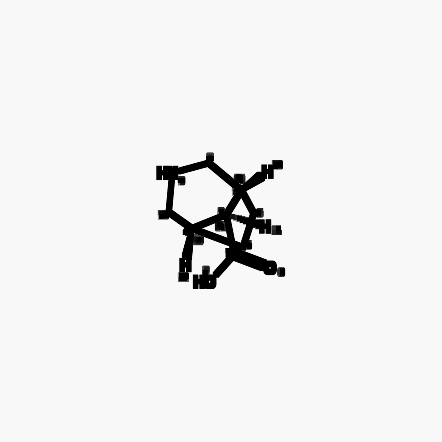 O=C(O)[C@H]1[C@@H]2CC[C@H]1CNC2